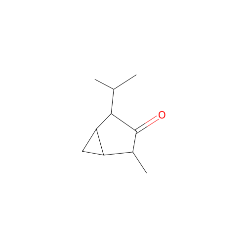 CC(C)C1C(=O)C(C)C2CC21